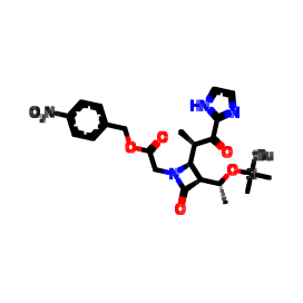 C[C@@H](O[Si](C)(C)C(C)(C)C)[C@H]1C(=O)N(CC(=O)OCc2ccc([N+](=O)[O-])cc2)[C@H]1[C@@H](C)C(=O)c1ncc[nH]1